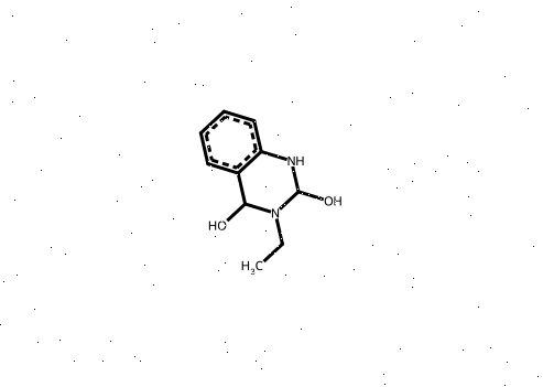 CCN1C(O)Nc2ccccc2C1O